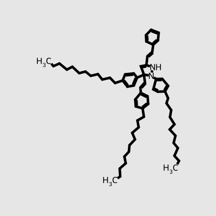 CCCCCCCCCCCCc1ccc(C=CC2(c3ccc(CCCCCCCCCCCC)cc3)C=C(C=Cc3ccccc3)NN2c2ccc(CCCCCCCCCCCC)cc2)cc1